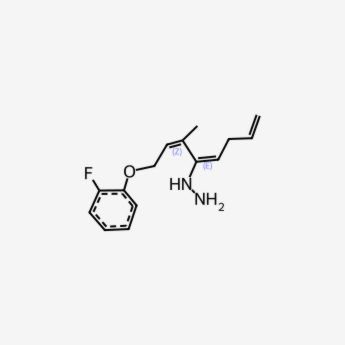 C=CC/C=C(NN)\C(C)=C/COc1ccccc1F